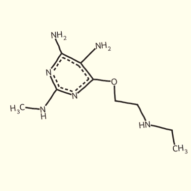 CCNCCOc1nc(NC)nc(N)c1N